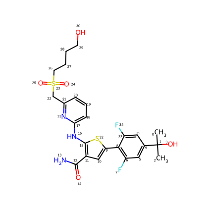 CC(C)(O)c1cc(F)c(-c2cc(C(N)=O)c(Nc3cccc(CS(=O)(=O)CCCCO)n3)s2)c(F)c1